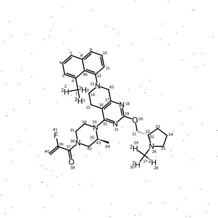 [2H]C([2H])([2H])c1cccc2cccc(N3CCc4c(nc(OC[C@@H]5CCCN5C([2H])([2H])[2H])nc4N4CCN(C(=O)C(=C)F)C[C@@H]4C)C3)c12